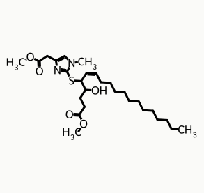 CCCCCCCCCCCC/C=C\C(Sc1nc(CC(=O)OC)cn1C)C(O)CCC(=O)OC